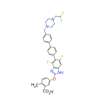 Cc1ccc(Oc2nc3c(F)c(-c4ccc(-c5ccc(CN6CCN(CC(F)F)CC6)cc5)cc4)c(F)cc3[nH]2)cc1C(=O)O